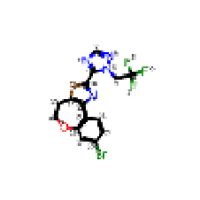 FC(F)(F)Cn1ncnc1-c1nc2c(s1)CCOc1cc(Br)ccc1-2